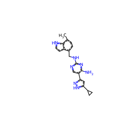 Cc1ccc(CNc2ncc(-c3cc(C4CC4)[nH]n3)c(N)n2)c2cc[nH]c12